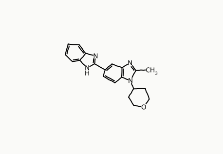 Cc1nc2cc(-c3nc4ccccc4[nH]3)ccc2n1C1CCOCC1